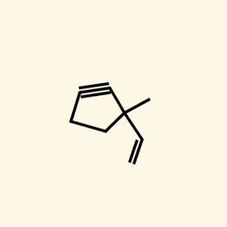 C=CC1(C)C#CCC1